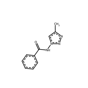 Cc1cn(NC(=O)c2ccccc2)nn1